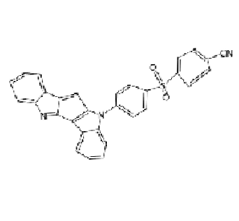 N#Cc1ccc(S(=O)(=O)c2ccc(-n3c4c(c5ccccc53)C3=Nc5ccccc5C3=C4)cc2)cc1